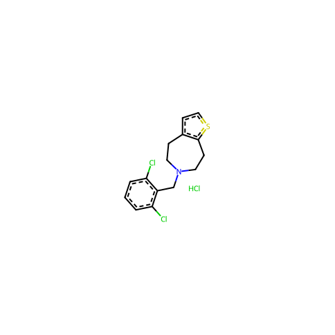 Cl.Clc1cccc(Cl)c1CN1CCc2ccsc2CC1